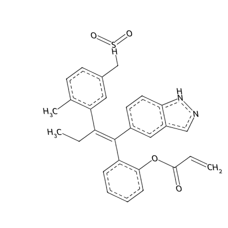 C=CC(=O)Oc1ccccc1/C(=C(\CC)c1cc(C[SH](=O)=O)ccc1C)c1ccc2[nH]ncc2c1